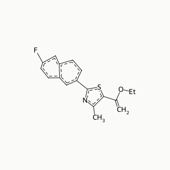 C=C(OCC)c1sc(-c2ccc3cc(F)ccc3c2)nc1C